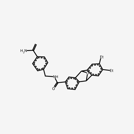 C=C(N)c1ccc(CNC(=O)c2ccc3c(c2)C2OC3c3cc(CC)c(CC)cc32)cc1